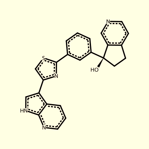 O[C@]1(c2cccc(-c3nc(-c4c[nH]c5ncccc45)cs3)c2)CCc2ccncc21